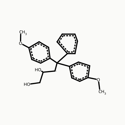 COc1ccc(C([CH]C(O)CO)(c2ccccc2)c2ccc(OC)cc2)cc1